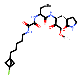 CC(C)(C)C[C@H](NC(=O)C(=O)NCCCCCC12CC(F)(C1)C2)C(=O)N[C@@H](C[C@@H]1CCNC1=O)C(=O)COC(F)(F)F